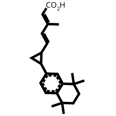 CC(/C=C/C1CC1c1ccc2c(c1)C(C)(C)CCC2(C)C)=C\C(=O)O